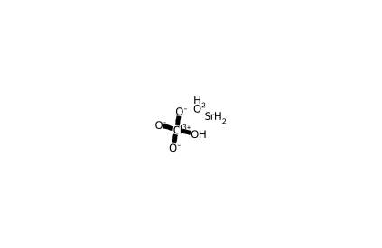 O.[O-][Cl+3]([O-])([O-])O.[SrH2]